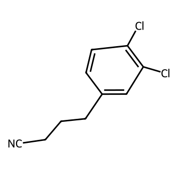 N#CCCCc1ccc(Cl)c(Cl)c1